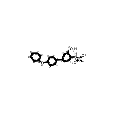 CS(=O)(=O)Nc1ccc(-c2ccc(Oc3ccccc3)cc2)cc1C(=O)O